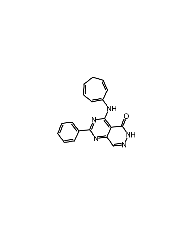 O=c1[nH]ncc2nc(-c3ccccc3)nc(NC3=CC=CCC=C3)c12